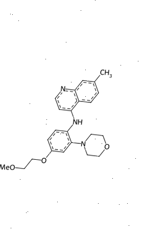 COCCOc1ccc(Nc2ccnc3cc(C)ccc23)c(N2CCOCC2)c1